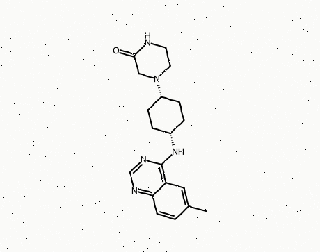 Cc1ccc2ncnc(N[C@H]3CC[C@@H](N4CCNC(=O)C4)CC3)c2c1